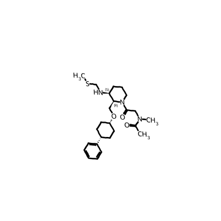 CSCN[C@H]1CCCN(C(=O)CN(C)C(C)=O)[C@H]1CO[C@H]1CC[C@@H](c2ccccc2)CC1